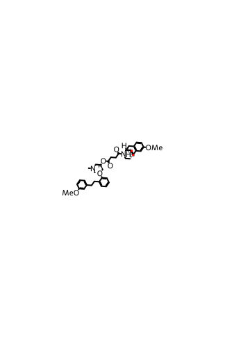 COc1cccc(CCc2ccccc2OC[C@@H](CN(C)C)OC(=O)CCC(=O)N2CC[C@@]34CCCC[C@@H]3[C@@H]2Cc2ccc(OC)cc24)c1